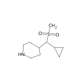 [CH2]S(=O)(=O)C(C1CCNCC1)C1CC1